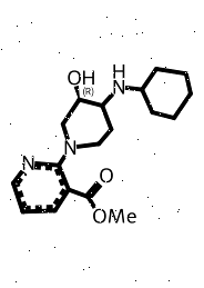 COC(=O)c1cccnc1N1CCC(NC2CCCCC2)[C@H](O)C1